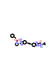 O=C(NC1CC1)c1nc2cc(C#Cc3ccc4[nH]c([C@@H]5CCCN5C(=O)OCc5ccccc5)nc4c3)ccc2[nH]1